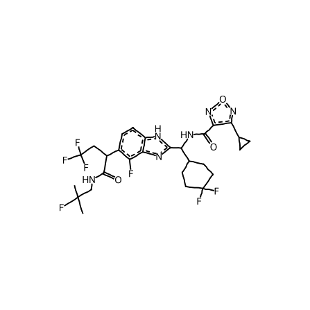 CC(C)(F)CNC(=O)C(CC(F)(F)F)c1ccc2[nH]c(C(NC(=O)c3nonc3C3CC3)C3CCC(F)(F)CC3)nc2c1F